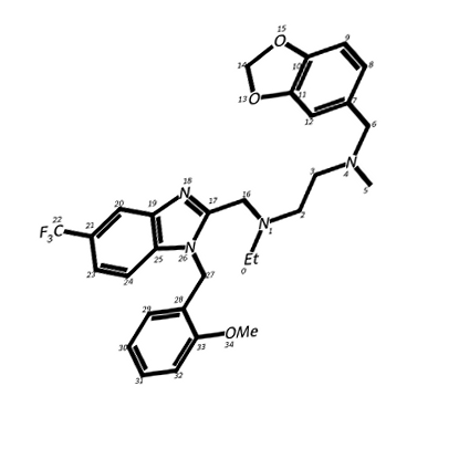 CCN(CCN(C)Cc1ccc2c(c1)OCO2)Cc1nc2cc(C(F)(F)F)ccc2n1Cc1ccccc1OC